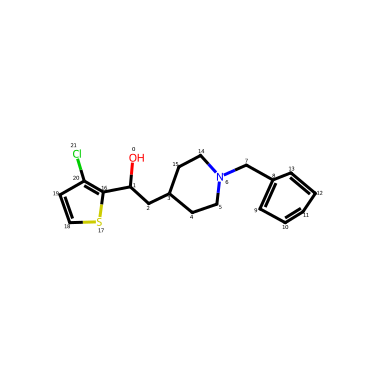 OC(CC1CCN(Cc2ccccc2)CC1)c1sccc1Cl